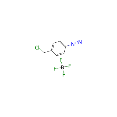 F[B-](F)(F)F.N#[N+]c1ccc(CCl)cc1